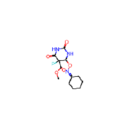 COC(=O)C1(F)C(=O)NC(=O)NC1ON=C1CCCCC1